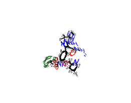 CC(C)(C)n1nc(-c2ccc(NS(=O)(=O)CC(F)(F)F)c(OCc3ccccn3)c2)c(C(N)=O)c1Nc1cnccn1